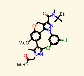 CCC(C)(C)N(C)C(=O)c1nn(-c2cc(Cl)cc(Cl)c2)c2c1COc1cc(OC)c(-c3c(C)nn(CC(=O)OC)c3C)cc1-2